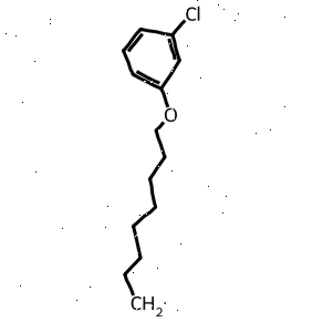 [CH2]CCCCCCCOc1cccc(Cl)c1